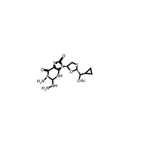 CC(=O)OC(C1CC1)[C@H]1O[C@@H](n2c3c(sc2=O)C(=O)N(N)C(NN)N3)CS1